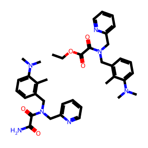 CCOC(=O)C(=O)N(Cc1ccccn1)Cc1cccc(N(C)C)c1C.Cc1c(CN(Cc2ccccn2)C(=O)C(N)=O)cccc1N(C)C